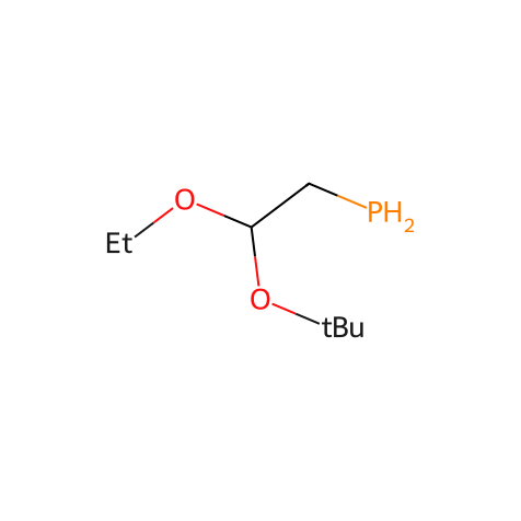 CCOC(CP)OC(C)(C)C